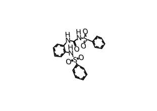 O=C(Nc1ccccc1NS(=O)(=O)c1ccccc1)NS(=O)(=O)c1ccccc1